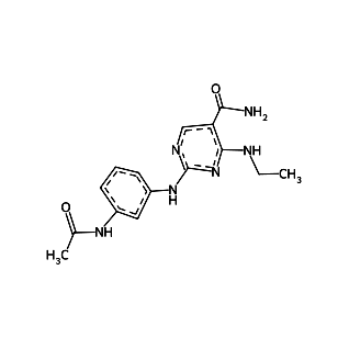 CCNc1nc(Nc2cccc(NC(C)=O)c2)ncc1C(N)=O